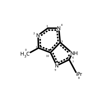 Cc1ncnc2[nH]c(C(C)C)nc12